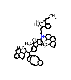 C=C/C=C(/C)c1ccccc1/C(C)=C\C=C\N(c1ccc2c(c1)C(C)(C)c1cc(C(C3=CCC4/C=C\C5CC=C/C(=C/C=C/3C4)C5)C(C=C)C3C=Cc4cccc5cccc3c45)ccc1-2)C1C=Cc2ccc3c(c2C1C)C(C)CC=C3